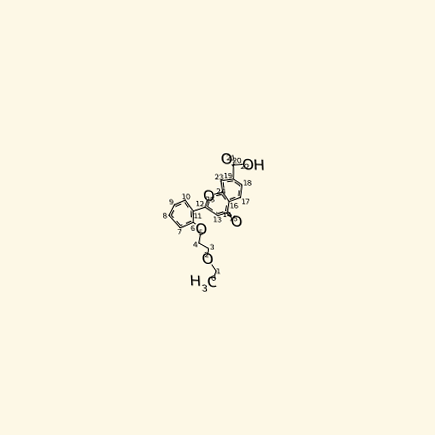 CCOCCOc1ccccc1-c1cc(=O)c2ccc(C(=O)O)cc2o1